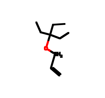 C=C[SiH2]OC(CC)(CC)CC